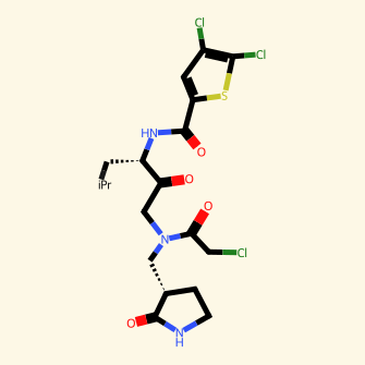 CC(C)C[C@H](NC(=O)c1cc(Cl)c(Cl)s1)C(=O)CN(C[C@@H]1CCNC1=O)C(=O)CCl